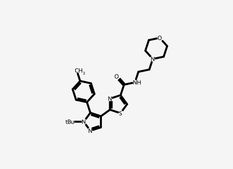 Cc1ccc(-c2c(-c3nc(C(=O)NCCN4CCOCC4)cs3)cnn2C(C)(C)C)cc1